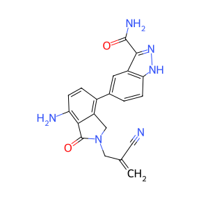 C=C(C#N)CN1Cc2c(-c3ccc4[nH]nc(C(N)=O)c4c3)ccc(N)c2C1=O